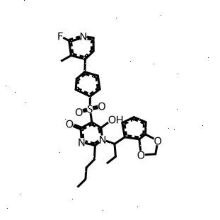 CCCCc1nc(=O)c(S(=O)(=O)c2ccc(-c3ccnc(F)c3C)cc2)c(O)n1C(CC)c1cccc2c1OCO2